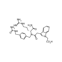 N=C(N)NCCC[C@H](C(N)=O)N(Cc1ccc(CNC(N)=O)cc1)C(=O)Cc1cn(CC(=O)O)c2ccccc12